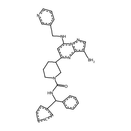 Bc1cnn2c(NCc3cccnc3)cc(C3CCCN(C(=O)NC(c4ccccc4)c4ccccc4)C3)nc12